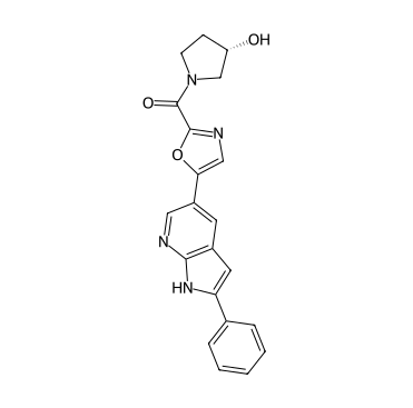 O=C(c1ncc(-c2cnc3[nH]c(-c4ccccc4)cc3c2)o1)N1CC[C@H](O)C1